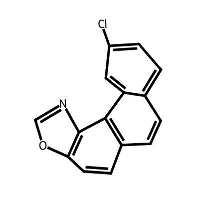 Clc1ccc2ccc3ccc4ocnc4c3c2c1